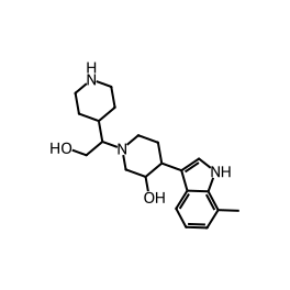 Cc1cccc2c(C3CCN(C(CO)C4CCNCC4)CC3O)c[nH]c12